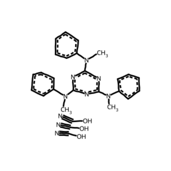 CN(c1ccccc1)c1nc(N(C)c2ccccc2)nc(N(C)c2ccccc2)n1.N#CO.N#CO.N#CO